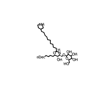 CCCCCCCCCCCCCCC[C@@H](O)[C@H](COC1OC(CO)C(O)C(O)C1O)NC(=O)CCCCCCCCCCC1CCNCC1